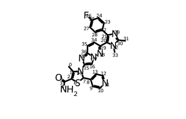 CC1=C(C(N)=O)SC(c2ccncc2)N1c1cn2nc(-c3c(-c4ccc(F)cc4)nc(C)n3C)ccc2n1